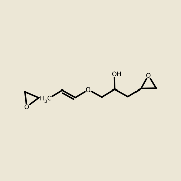 C1CO1.CC=COCC(O)CC1CO1